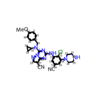 COc1ccc(CN(c2nc(Nc3cc(C#N)cc(N4CCNCC4)c3Cl)nc3c(C#N)cnn23)C2CC2)cc1